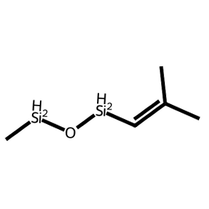 C[SiH2]O[SiH2]C=C(C)C